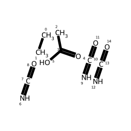 CC.CC(=O)O.N=C=O.N=C=O.N=C=O